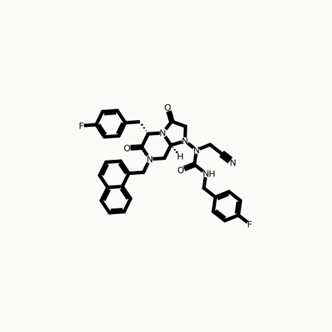 N#CCN(C(=O)NCc1ccc(F)cc1)N1CC(=O)N2[C@@H](Cc3ccc(F)cc3)C(=O)N(Cc3cccc4ccccc34)C[C@@H]21